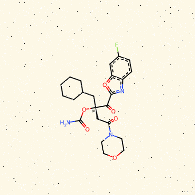 NC(=O)O[C@](CC(=O)N1CCOCC1)(CC1CCCCC1)C(=O)c1nc2ccc(F)cc2o1